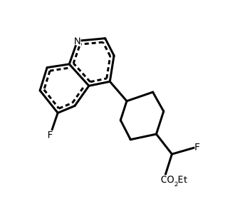 CCOC(=O)C(F)C1CCC(c2ccnc3ccc(F)cc23)CC1